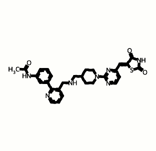 CC(=O)Nc1cccc(-c2ncccc2CNCC2CCN(c3nccc(/C=C4\SC(=O)NC4=O)n3)CC2)c1